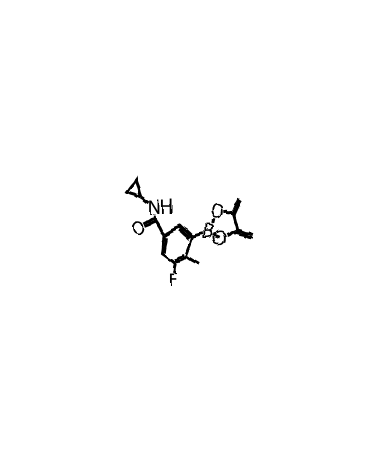 C=C1OB(c2cc(C(=O)NC3CC3)cc(F)c2C)OC1=C